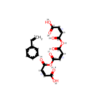 C=Cc1ccccc1.O=C(O)/C=C\C(=O)OC(=O)/C=C\C(=O)OC(=O)/C=C\C(=O)O